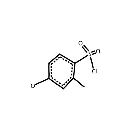 Cc1cc([O])ccc1S(=O)(=O)Cl